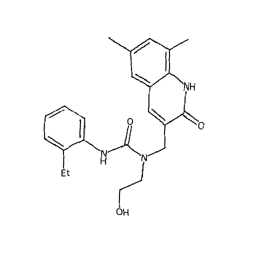 CCc1ccccc1NC(=O)N(CCO)Cc1cc2cc(C)cc(C)c2[nH]c1=O